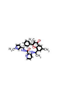 Cc1cc([C@@H](C)Nc2cccnc2C(=O)NCc2ccn(C)c2)c2oc(-c3ccccc3)c(C)c(=O)c2c1